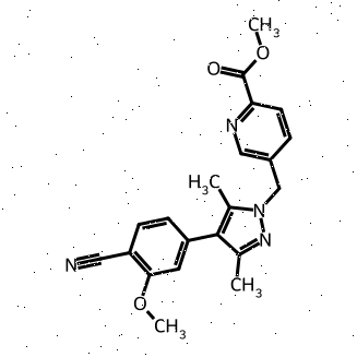 COC(=O)c1ccc(Cn2nc(C)c(-c3ccc(C#N)c(OC)c3)c2C)cn1